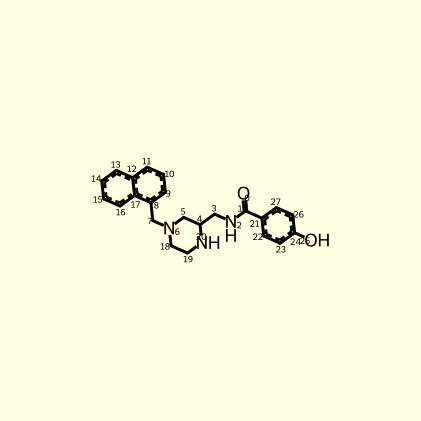 O=C(NCC1CN(Cc2cccc3ccccc23)CCN1)c1ccc(O)cc1